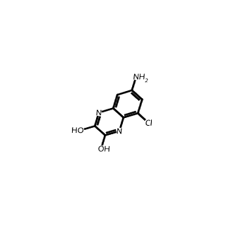 Nc1cc(Cl)c2nc(O)c(O)nc2c1